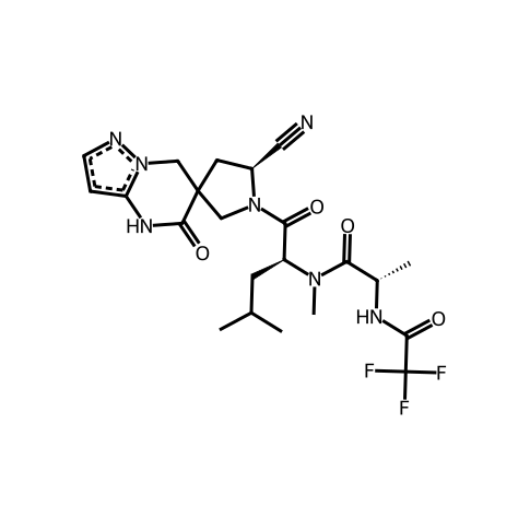 CC(C)C[C@@H](C(=O)N1CC2(C[C@H]1C#N)Cn1nccc1NC2=O)N(C)C(=O)[C@H](C)NC(=O)C(F)(F)F